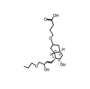 CCCOCC(O)C=C[C@H]1[C@@H]2CC(OCCCC(=O)O)C[C@H]2C[C@@H]1O